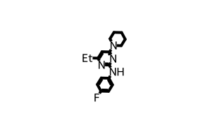 CCc1cc(N2CCCCC2)nc(Nc2ccc(F)cc2)n1